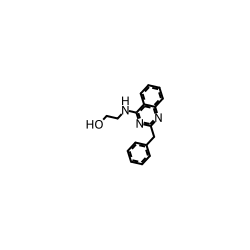 OCCNc1nc(Cc2ccccc2)nc2ccccc12